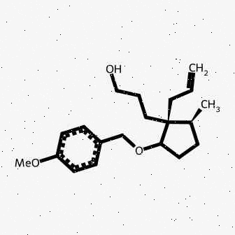 C=CC[C@]1(CCCO)C(OCc2ccc(OC)cc2)CC[C@@H]1C